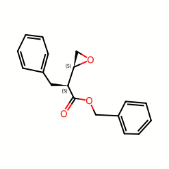 O=C(OCc1ccccc1)[C@@H](Cc1ccccc1)[C@H]1CO1